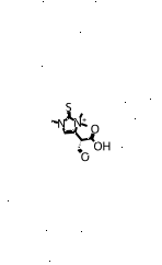 CN1C=C([C@@H](C=O)C(=O)O)[N+](C)(C)C1=S